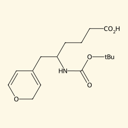 CC(C)(C)OC(=O)NC(CCCC(=O)O)CC1=CCOC=C1